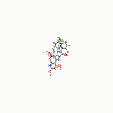 COc1cc(OC)c(-c2nc3c(n2C(C)CO)C2(c4ccc(Cl)cc4NC2O)N(c2cc(Cl)ccc2C)C3=O)cn1